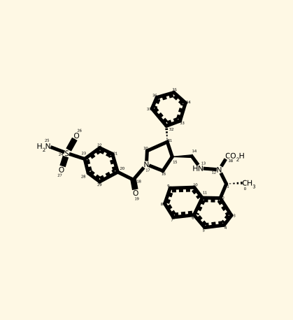 C[C@H](c1cccc2ccccc12)N(NC[C@H]1CN(C(=O)c2ccc(S(N)(=O)=O)cc2)C[C@@H]1c1ccccc1)C(=O)O